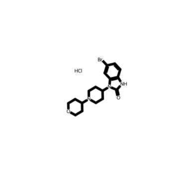 Cl.O=c1[nH]c2ccc(Br)cc2n1C1CCN(C2CCOCC2)CC1